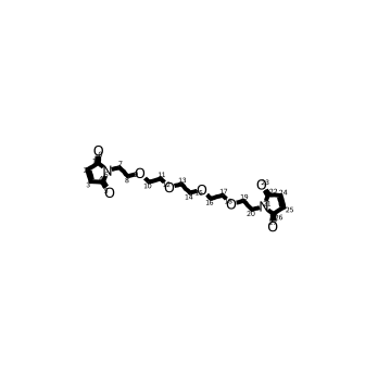 O=C1C=CC(=O)N1CCOCCOCCOCCOCCN1C(=O)C=CC1=O